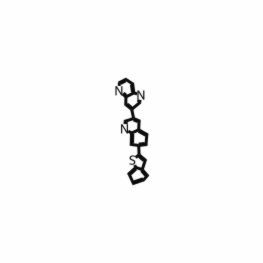 c1ccc2sc(-c3ccc4cc(-c5cnc6cccnc6c5)cnc4c3)cc2c1